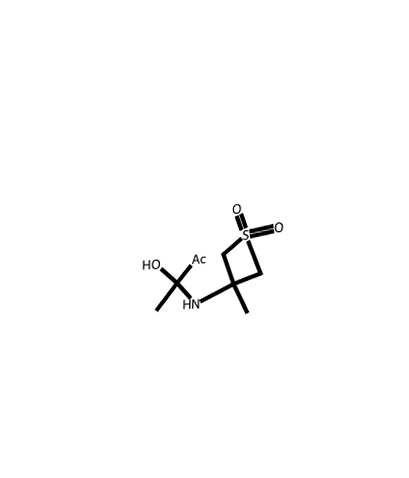 CC(=O)C(C)(O)NC1(C)CS(=O)(=O)C1